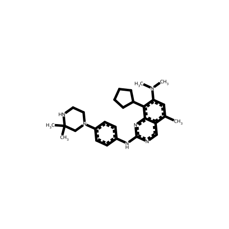 Cc1cc(N(C)C)c(C2CCCC2)c2nc(Nc3ccc(N4CCNC(C)(C)C4)cc3)ncc12